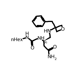 CCCCCCNC(=O)N[C@@H](CNC1(Cc2ccccc2)COC1)CC(N)=O